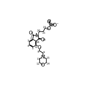 O=C1c2cccc(OCCN3CCOCC3)c2C(=O)N1CCCO[N+](=O)[O-]